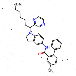 CCCCCCCCCCCCCCCC(c1cnccn1)N1CCc2cc(NC(=O)c3cc(C(F)(F)F)ccc3-c3ccccc3)ccc21